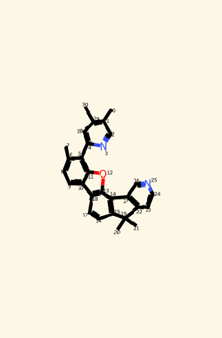 Cc1cnc(-c2c(C)ccc3c2oc2c4c(ccc23)C(C)(C)c2ccncc2-4)cc1C